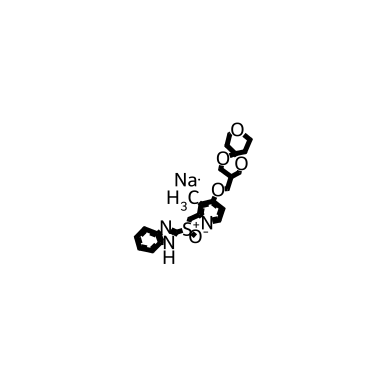 Cc1c(OCC2COC3(CCOCC3)OC2)ccnc1C[S+]([O-])c1nc2ccccc2[nH]1.[Na]